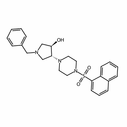 O=S(=O)(c1cccc2ccccc12)N1CCN([C@@H]2CN(Cc3ccccc3)C[C@H]2O)CC1